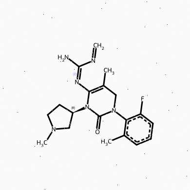 C=N/C(N)=N\C1=C(C)CN(c2c(C)cccc2F)C(=O)N1[C@@H]1CCN(C)C1